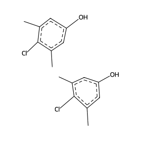 Cc1cc(O)cc(C)c1Cl.Cc1cc(O)cc(C)c1Cl